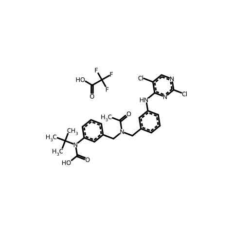 CC(=O)N(Cc1cccc(Nc2nc(Cl)ncc2Cl)c1)Cc1cccc(N(C(=O)O)C(C)(C)C)c1.O=C(O)C(F)(F)F